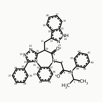 CC(C)N(C(=O)CN1C(=O)C(Cc2n[nH]c3ccccc23)c2nnc(-c3ccccc3)n2-c2ccccc21)c1ccccc1